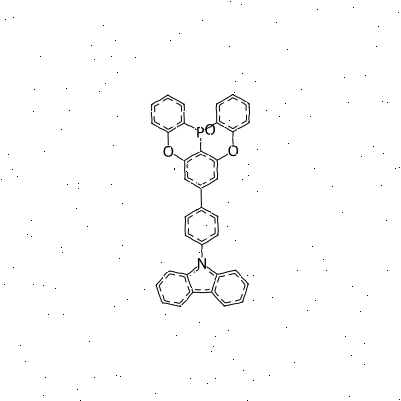 O=P12c3ccccc3Oc3cc(-c4ccc(-n5c6ccccc6c6ccccc65)cc4)cc(c31)Oc1ccccc12